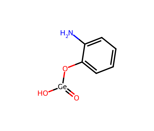 Nc1ccccc1[O][Ge](=[O])[OH]